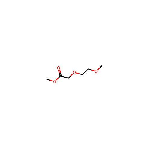 CO[CH]COCC(=O)OC